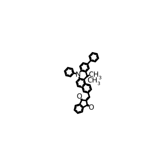 CC1(C)c2cc(-c3ccccc3)ccc2N(c2ccccc2)c2ccc3cc(C=C4C(=O)c5ccccc5C4=O)ccc3c21